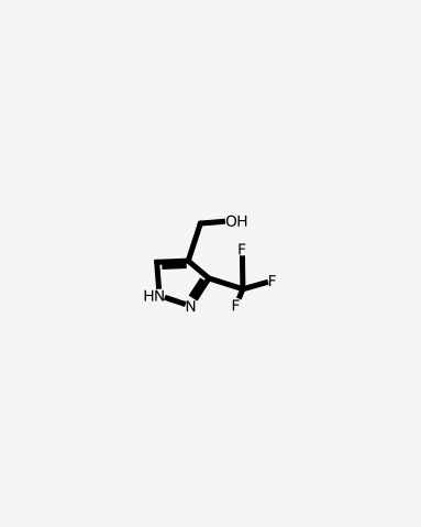 OCc1c[nH]nc1C(F)(F)F